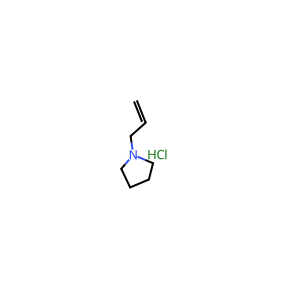 C=CCN1CCCC1.Cl